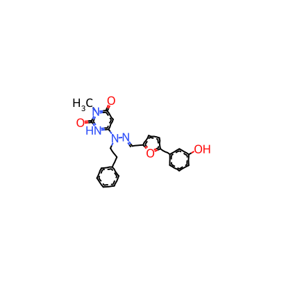 Cn1c(=O)cc(N(CCc2ccccc2)/N=C/c2ccc(-c3cccc(O)c3)o2)[nH]c1=O